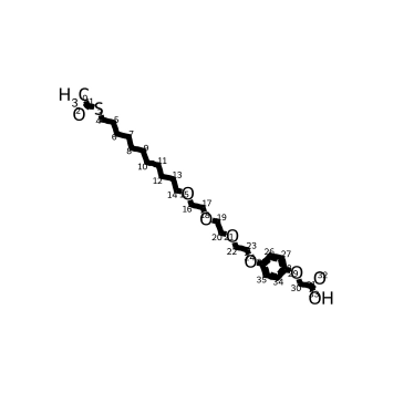 CC(=O)SCCCCCCCCCCCOCCOCCOCCOc1ccc(OCC(=O)O)cc1